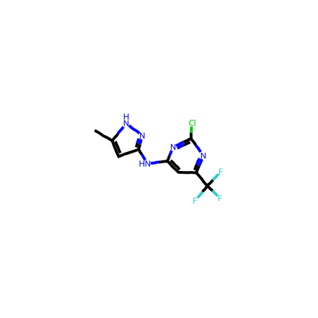 Cc1cc(Nc2cc(C(F)(F)F)nc(Cl)n2)n[nH]1